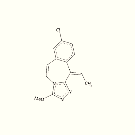 CC=C1c2ccc(Cl)cc2C=Cn2c(OC)nnc21